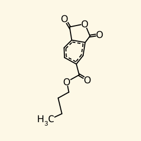 CCCCOC(=O)c1ccc2c(c1)C(=O)OC2=O